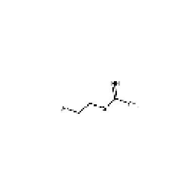 CC(=N)SCCN